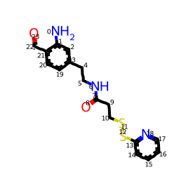 Nc1cc(CCNC(=O)CCSSc2ccccn2)ccc1[C]=O